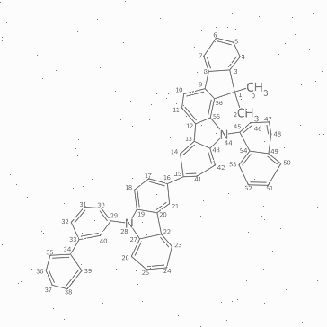 CC1(C)c2ccccc2-c2ccc3c4cc(-c5ccc6c(c5)c5ccccc5n6-c5cccc(-c6ccccc6)c5)ccc4n(-c4cccc5ccccc45)c3c21